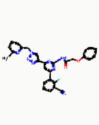 Cc1cccc(Cn2cc(-c3cc(-c4cccc(C#N)c4F)nc(NC(=O)COc4ccccc4)n3)nn2)n1